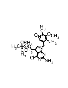 COc1c(C)c(CN2CC(CO[Si](C)(C)C(C)(C)C)c3c(Cl)nc(N)nc32)c[n+]([O-])c1C